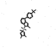 CC1=CC(C)([Si](C)(C)C2C(C)=Cc3c(-c4ccc(C(C)(C)C)cc4)cccc32)C=C1C